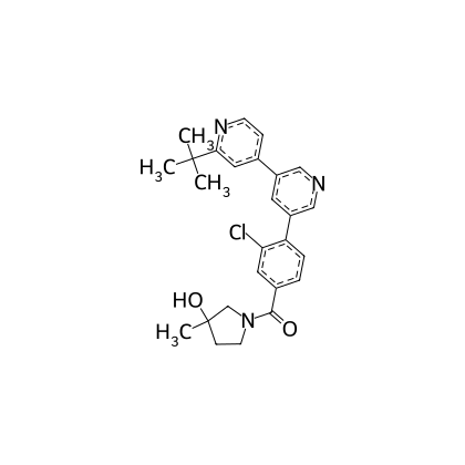 CC1(O)CCN(C(=O)c2ccc(-c3cncc(-c4ccnc(C(C)(C)C)c4)c3)c(Cl)c2)C1